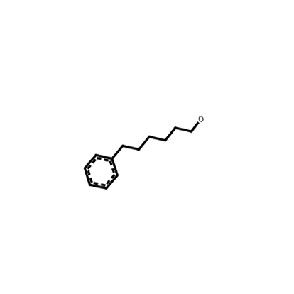 [O]CCCCCCc1ccccc1